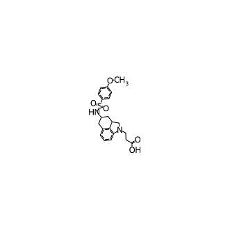 COc1ccc(S(=O)(=O)NC2Cc3cccc4c3C(C2)CN4CCC(=O)O)cc1